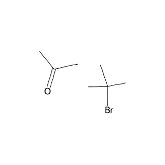 CC(C)(C)Br.CC(C)=O